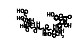 C=C(Nc1ccc(-c2c3ccc(=O)cc-3oc3cc(O)ccc23)c(C(=O)O)c1)N[C@@H](CCC(=O)NCCNC(=O)CC[C@H](NC(=O)N[C@@H](CCC(=O)O)OO)C(=O)O)C(=O)O